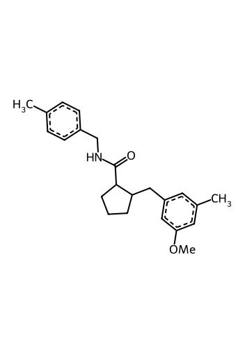 COc1cc(C)cc(CC2CCCC2C(=O)NCc2ccc(C)cc2)c1